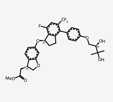 COC(=O)C[C@@H]1COc2cc(O[C@@H]3CCc4c(-c5ccc(OC[C@@H](O)C(C)(C)O)cc5)c(C(F)(F)F)cc(F)c43)ccc21